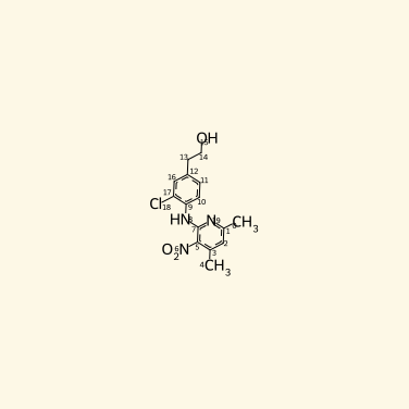 Cc1cc(C)c([N+](=O)[O-])c(Nc2ccc(CCO)cc2Cl)n1